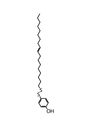 CCCCCCCCC=CCCCCCCCCSSc1ccc(O)cc1